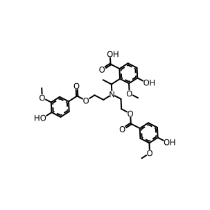 COc1cc(C(=O)OCCN(CCOC(=O)c2ccc(O)c(OC)c2)C(C)c2c(C(=O)O)ccc(O)c2OC)ccc1O